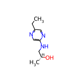 CCc1cnc(NC[C@@H](C)O)cn1